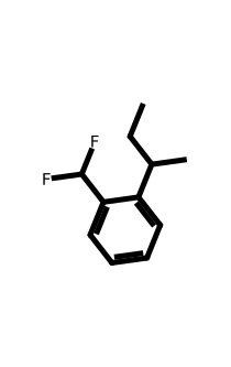 CCC(C)c1ccccc1C(F)F